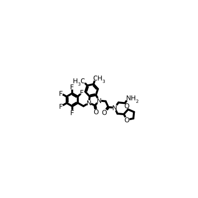 Cc1cc2c(cc1C)n(Cc1c(F)c(F)c(F)c(F)c1F)c(=O)n2CC(=O)N(CC(N)=O)CC1CCCO1